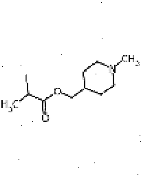 CC(I)C(=O)OCC1CCN(C)CC1